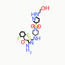 Nc1nc(NC2CCN(S(=O)(=O)c3ccc(NCCO)nc3)CC2)sc1C(=O)c1c(F)cccc1F